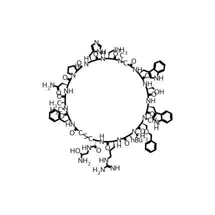 CCCC[C@H]1C(=O)N[C@@H](CCCNC(=N)N)C(=O)N[C@H](C(=O)NCC(N)O)CSCC(=O)N[C@@H](Cc2ccccc2)C(=O)N(C)[C@@H](C)C(=O)N[C@@H](CC(N)=O)C(=O)N2CCC[C@H]2C(=O)N[C@@H](Cc2cnc[nH]2)C(=O)N[C@@H](CC(C)C)C(=O)N(C)CC(=O)N[C@@H](Cc2c[nH]c3ccccc23)C(=O)N[C@@H](CO)C(=O)N[C@@H](Cc2c[nH]c3ccccc23)C(=O)N(C)[C@@H](COCc2ccccc2)C(=O)N1C